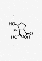 O=C(O)N1CCC(O)C1(F)C(=O)O